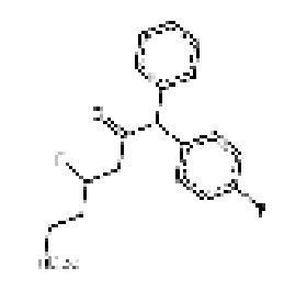 CCCCCCCCCCCCC(F)CC(=O)C(c1ccccc1)c1ccc(F)cc1